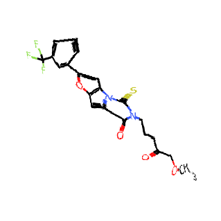 COCC(=O)CCCN1C(=O)c2cc3oc(-c4cccc(C(F)(F)F)c4)cc3n2C1=S